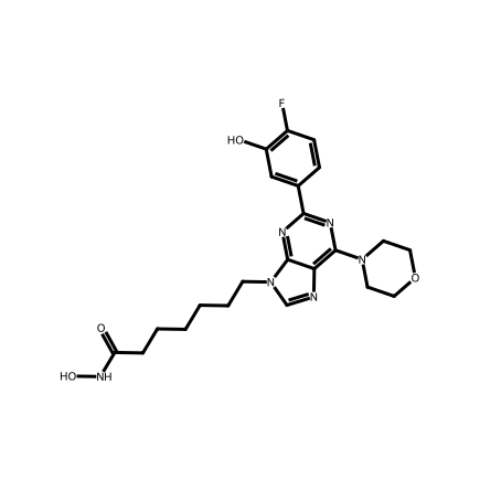 O=C(CCCCCCn1cnc2c(N3CCOCC3)nc(-c3ccc(F)c(O)c3)nc21)NO